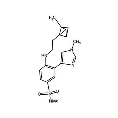 CNS(=O)(=O)c1ccc(NCCC2C3CC2(C(F)(F)F)C3)c(-c2cn(C)cn2)c1